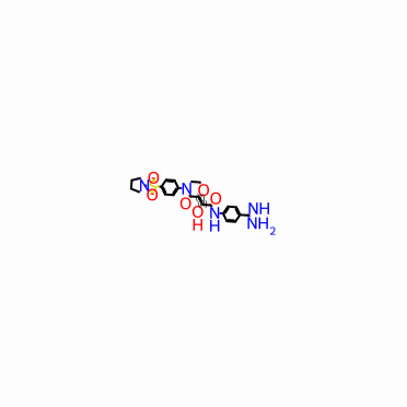 N=C(N)c1ccc(NC(=O)[C@H](O)[C@H]2OCCN(c3ccc(S(=O)(=O)N4CCCC4)cc3)C2=O)cc1